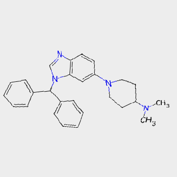 CN(C)C1CCN(c2ccc3ncn(C(c4ccccc4)c4ccccc4)c3c2)CC1